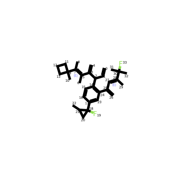 C=CC(C(=C)/C(C)=C(\C)C1(C)CCC1)c1ccc(C2(F)CC2C)cc1C(=C)/C=C(\C)C(C)(C)F